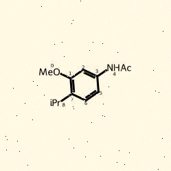 COc1cc(NC(C)=O)ccc1C(C)C